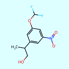 C[C](CO)c1cc(OC(F)F)cc([N+](=O)[O-])c1